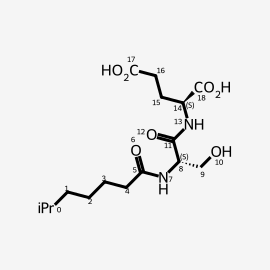 CC(C)CCCCC(=O)N[C@@H](CO)C(=O)N[C@@H](CCC(=O)O)C(=O)O